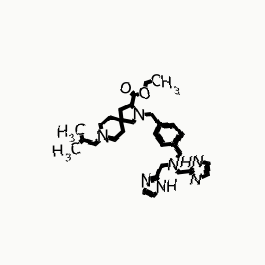 CCOC(=O)C1CC2(CCN(CC(C)C)CC2)CN1Cc1ccc(CN(Cc2ncc[nH]2)Cc2ncc[nH]2)cc1